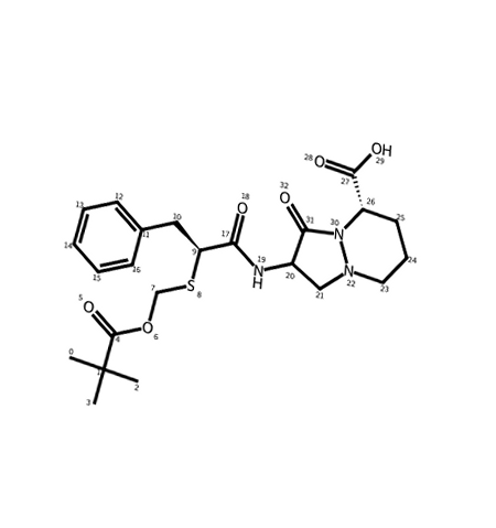 CC(C)(C)C(=O)OCS[C@@H](Cc1ccccc1)C(=O)NC1CN2CCC[C@@H](C(=O)O)N2C1=O